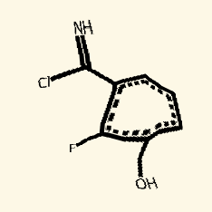 N=C(Cl)c1cccc(O)c1F